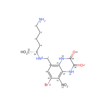 NCCCC[C@H](NCc1cc(Br)c([N+](=O)[O-])c2[nH]c(=O)c(=O)[nH]c12)C(=O)O